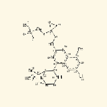 CC(C)(C)[Si](C)(C)OCC1(COc2nc(C3NCC4CC(Br)C3N4C(=O)O)c3cc(Cl)cc(F)c3n2)CC1